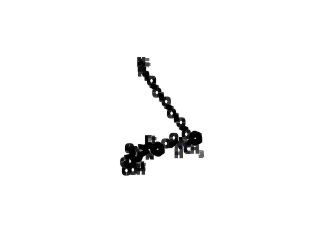 CCc1c2c(nc3ccc(OCC(=O)N/N=C(\C)c4ccccc4OCCOCCOCCOCCOCCOCCN=[N+]=[N-])cc13)-c1cc3c(c(=O)n1C2)COC(=O)C3(O)CC